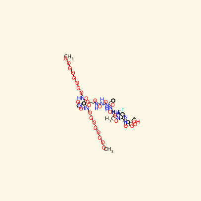 COCCOCCOCCOCCOCCOCCOCCOCCNC(=O)c1cc(N2C(=O)C=CC2=O)cc(C(=O)NCCOCCOCCOCCOCCOCCOCCOCCOC)c1OCCCC(=O)NCC(=O)NCC(=O)N[C@@H](Cc1ccccc1)C(=O)NCC(=O)NCO[C@@H](C)C(=O)NCc1c2c(nc3cc(F)c(C)cc13)-c1cc3c(c(=O)n1C2)COC(=O)[C@]3(O)CC1CC1